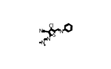 CN(C)C=Nc1sc(C=Nc2ccccc2)c(Cl)c1C#N